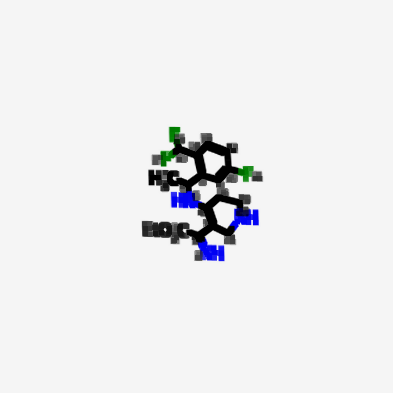 CCOC(=O)C(=N)C1=C(NC(C)c2cc(F)ccc2C(F)F)CCNC1